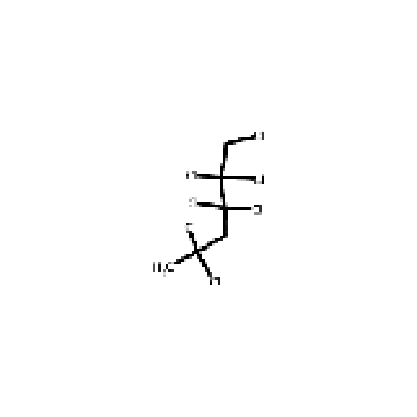 CC(Cl)(Cl)CC(Cl)(Cl)C(Cl)(Cl)CCl